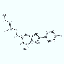 Cc1ccc(-c2nc3cc(OCC(F)=CCN)ccc3s2)cc1.Cl